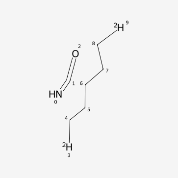 N=C=O.[2H]CCCCC[2H]